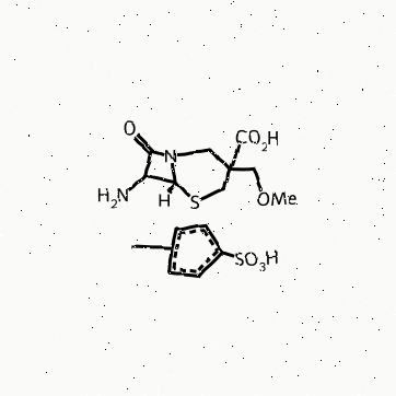 COCC1(C(=O)O)CS[C@@H]2C(N)C(=O)N2C1.Cc1ccc(S(=O)(=O)O)cc1